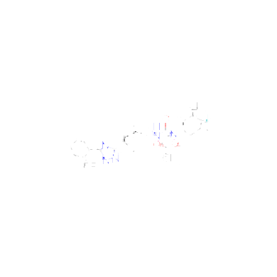 Cn1c(-c2ccccc2C(F)(F)F)nnc1C12CCC(CNC(=O)N(OC(=O)C(F)(F)F)c3ccc(F)c(C(F)(F)F)c3)(CC1)CC2